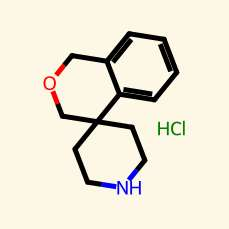 Cl.c1ccc2c(c1)COCC21CCNCC1